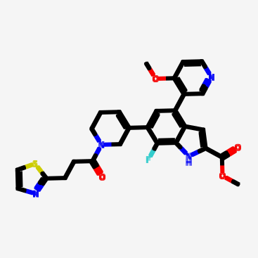 COC(=O)c1cc2c(-c3cnccc3OC)cc(C3=CCCN(C(=O)CCc4nccs4)C3)c(F)c2[nH]1